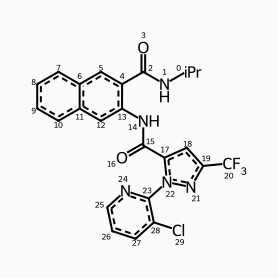 CC(C)NC(=O)c1cc2ccccc2cc1NC(=O)c1cc(C(F)(F)F)nn1-c1ncccc1Cl